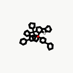 c1ccc(-c2ccc(N(c3ccc(-c4ccccc4)cc3)c3c(C4(c5ccccc5)c5ccccc5-c5ccccc54)ccc4c3oc3ccccc34)cc2)cc1